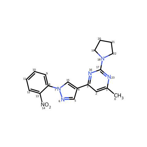 Cc1cc(-c2cnn(-c3ccccc3[N+](=O)[O-])c2)nc(N2CCCC2)n1